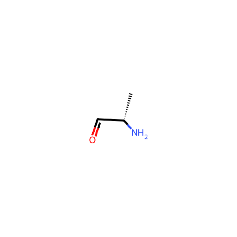 C[C@H](N)C=O